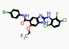 O=C(Nc1ccc(Br)cc1)c1cc2nc(Nc3c(Cl)ccc(Cl)c3F)[nH]c2cc1OCC(F)(F)F